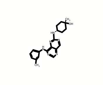 Cc1cccc(Nc2ncnc3cnc(N[C@H]4CC[C@@](C)(O)CC4)nc23)c1